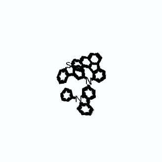 C1=CC2c3cccc(N(C4=CCC5Sc6ccccc6C5=C4)c4ccc5c6ccccc6n(-c6ccccc6)c5c4)c3C3=c4ccccc4=CC(=C1)C32